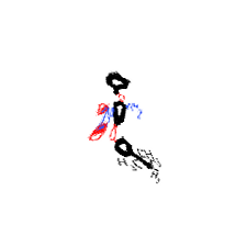 CCC(C)(C)c1ccc(Oc2cc(N)c(OCc3ccccc3)cc2[N+](=O)[O-])cc1